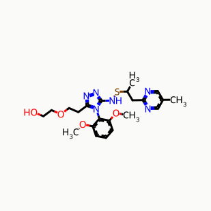 COc1cccc(OC)c1-n1c(CCOCCO)nnc1NSC(C)Cc1ncc(C)cn1